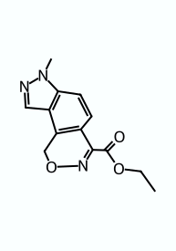 CCOC(=O)C1=NOCc2c1ccc1c2cnn1C